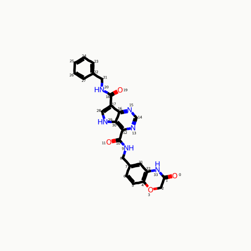 O=C1COc2ccc(CNC(=O)c3ncnc4c(C(=O)NCc5ccccc5)c[nH]c34)cc2N1